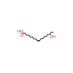 CCC(O)CCCCC/C=C\CCCCCCCC(=O)O